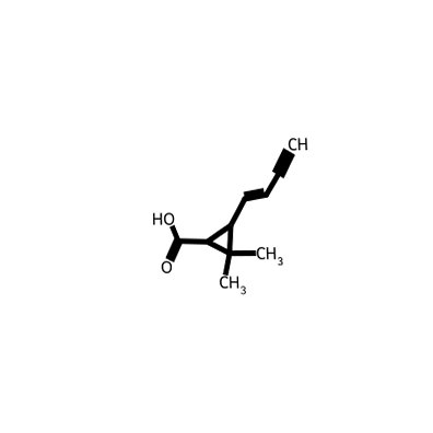 C#C/C=C/C1C(C(=O)O)C1(C)C